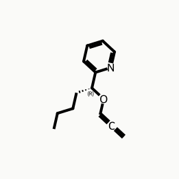 C=C=CO[C@H](CCCC)c1ccccn1